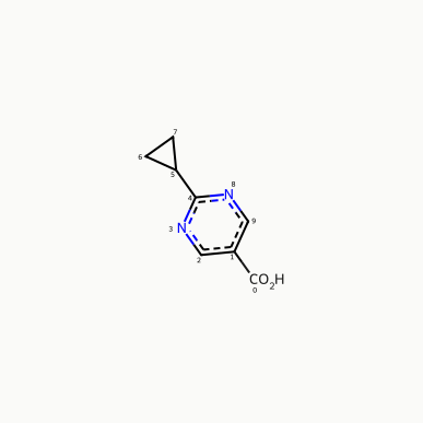 O=C(O)c1cnc(C2CC2)nc1